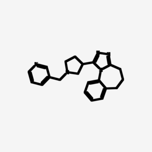 c1cncc(CN2CCC(c3nnc4n3-c3ccccc3CCC4)C2)c1